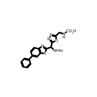 CC(=O)NC(c1nnc(CNC(=O)O)o1)c1nc2ccc(-c3ccccc3)cc2s1